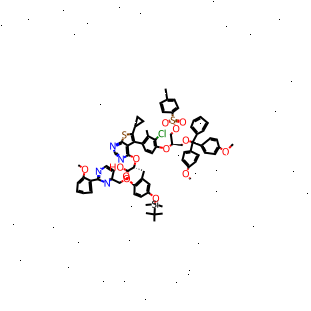 COc1ccc(C(OC[C@H](COS(=O)(=O)c2ccc(C)cc2)Oc2ccc(-c3c(C4CC4)sc4ncnc(O[C@H](Cc5cc(O[Si](C)(C)C(C)(C)C)ccc5OCc5ccnc(-c6ccccc6OC)n5)C(=O)O)c34)c(C)c2Cl)(c2ccccc2)c2ccc(OC)cc2)cc1